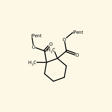 CCCC(C)OC(=O)C1(C)CCCCC1(C)C(=O)OC(C)CCC